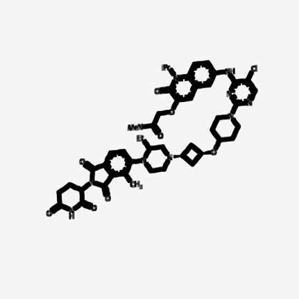 CCC1CN([C@H]2C[C@H](OC3CCN(c4ncc(Cl)c(Nc5ccc6c(c5)cc(OCC(=O)NC)c(=O)n6C(C)C)n4)CC3)C2)CCN1c1ccc2c(c1C)C(=O)N(C1CCC(=O)NC1=O)C2=O